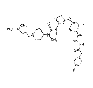 CN(C)CCCN1CCC(N(C)C(=O)Nc2cc(Oc3ccc(NC(=S)NC(=O)Cc4ccc(F)cc4)c(F)c3)ccn2)CC1